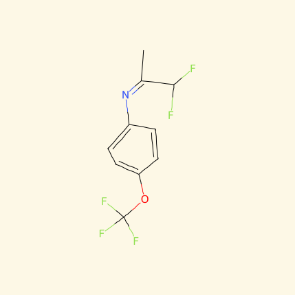 CC(=Nc1ccc(OC(F)(F)F)cc1)C(F)F